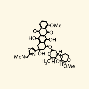 CNCc1nc([C@]2(O)Cc3c(O)c4c(c(O)c3[C@@H](O[C@H]3C[C@H]5[C@H](O[C@@H]6[C@@H](OC)OCCN65)[C@H](C)O3)C2)C(=O)c2c(OC)cccc2C4=O)cs1